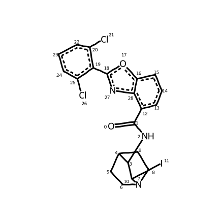 O=C(NC1C2CCN(CC2)C1I)c1cccc2oc(-c3c(Cl)cccc3Cl)nc12